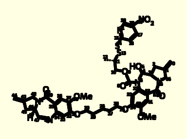 C=C1CC2C(O)N(C(=O)OC[C@H](C)SSc3ccc([N+](=O)[O-])cn3)c3cc(OCCCCCOc4cc5c(cc4OC)C(=O)N4CC(=C)C[C@H]4C=N5)c(OC)cc3C(=O)N2C1